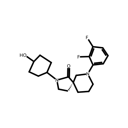 O=C1N(C2CCC(O)CC2)CC[C@]12CCCN(c1cccc(F)c1F)C2